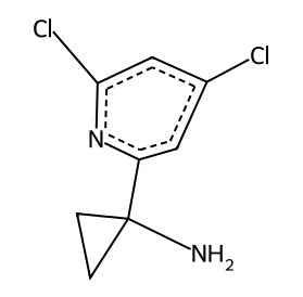 NC1(c2cc(Cl)cc(Cl)n2)CC1